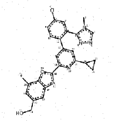 Cn1cnnc1-c1cc(Cl)ccc1-c1cc(-c2nc3cc(CO)cc(F)c3o2)nc(C2CC2)c1